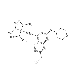 CSc1ncc2c(C#C[Si](C(C)C)(C(C)C)C(C)C)cc(OC3CCOCC3)nc2n1